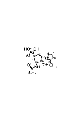 CC(=O)Nc1cc([As](=O)(O)O)ccc1O.Cc1ccno1